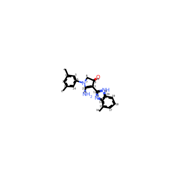 Cc1cc(C)cc(N2CC(=O)C(c3nc4c(C)cccc4[nH]3)=C2N)c1